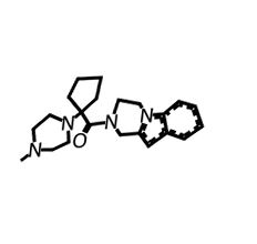 CN1CCN(C2(C(=O)N3CCn4c(cc5ccccc54)C3)CCCC2)CC1